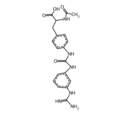 CC(=O)NC(Cc1ccc(NC(=O)Nc2cccc(NC(=N)N)c2)cc1)C(=O)O